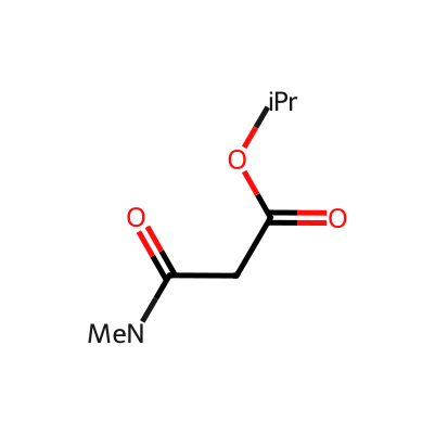 CNC(=O)CC(=O)OC(C)C